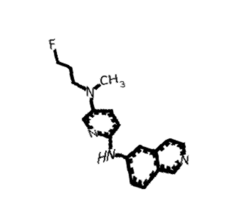 CN(CCCF)c1ccc(Nc2ccc3cnccc3c2)nc1